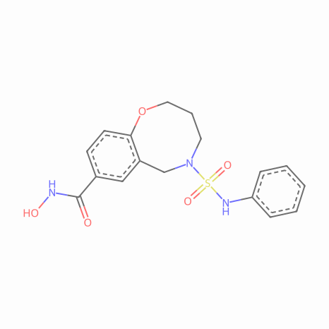 O=C(NO)c1ccc2c(c1)CN(S(=O)(=O)Nc1ccccc1)CCCO2